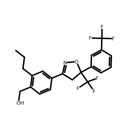 CCCc1cc(C2=NOC(c3cccc(C(F)(F)F)c3)(C(F)(F)F)C2)ccc1CO